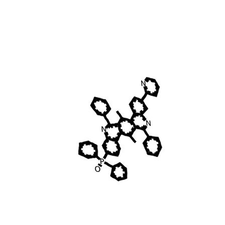 Cc1c2c(-c3ccccc3)nc3cc(P(=O)(c4ccccc4)c4ccccc4)ccc3c2c(C)c2c(-c3ccccc3)nc3cc(-c4ccccn4)ccc3c12